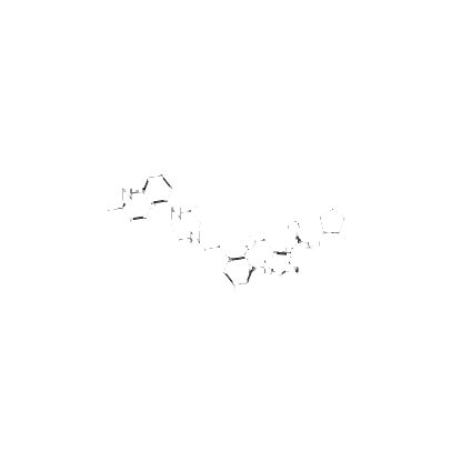 Cc1ccc2c(N3CCN(CCc4cccc5c4OCc4c(C(=O)OC6CCCC6)ncn4-5)CC3)cccc2n1